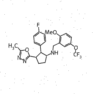 COc1ccc(OC(F)(F)F)cc1CNC1CCC(c2nnc(C)o2)C1c1ccc(F)cc1